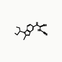 CCC(CC)n1c(C)cc2cc(NC(=N)NC#N)ccc21